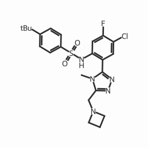 Cn1c(CN2CCC2)nnc1-c1cc(Cl)c(F)cc1NS(=O)(=O)c1ccc(C(C)(C)C)cc1